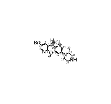 COc1ncc(Br)cc1Nc1ccc(N2CCNC[C@@H]2C)cn1.Cl